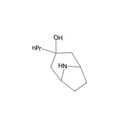 CCCC1(O)CC2CCC(C1)N2